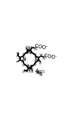 C=CC1=C(C)c2cc3[nH]c(cc4nc(cc5[nH]c(cc1n2)c(C)c5CCC(=O)[O-])C(CCC(=O)[O-])=C4C)c(C)c3C=C.[Ag+].[Ag+]